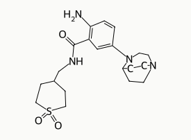 Nc1ccc(N2CCN3CCC2CC3)cc1C(=O)NCC1CCS(=O)(=O)CC1